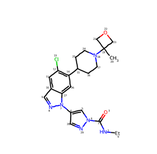 CCNC(=O)n1cc(-n2ncc3cc(Cl)c(C4CCN(C5(C)COC5)CC4)cc32)cn1